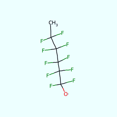 CC(F)(F)C(F)(F)C(F)(F)C(F)(F)C([O])(F)F